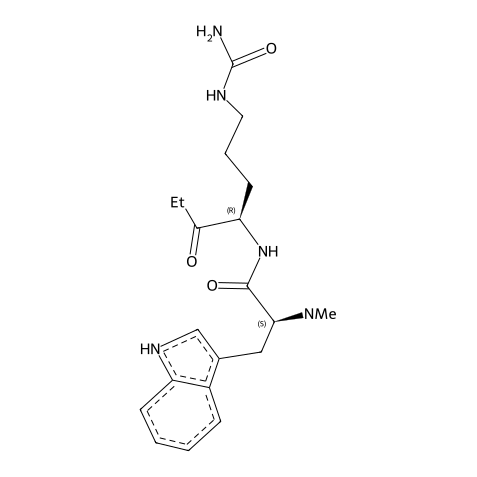 CCC(=O)[C@@H](CCCNC(N)=O)NC(=O)[C@H](Cc1c[nH]c2ccccc12)NC